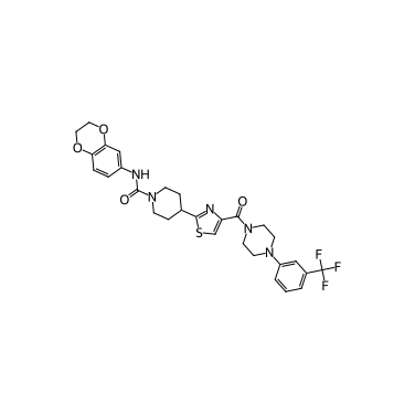 O=C(Nc1ccc2c(c1)OCCO2)N1CCC(c2nc(C(=O)N3CCN(c4cccc(C(F)(F)F)c4)CC3)cs2)CC1